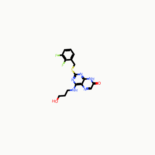 O=c1cnc2c(NCCCO)nc(SCc3cccc(F)c3F)nc2[nH]1